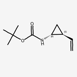 C=C[C@@H]1C[C@H]1NC(=O)OC(C)(C)C